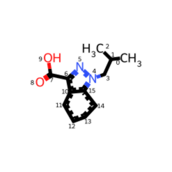 CC(C)Cn1nc(C(=O)O)c2ccccc21